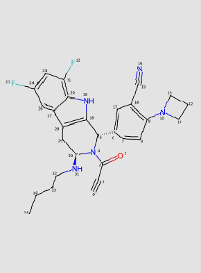 C#CC(=O)N1[C@@H](c2ccc(N3CCC3)c(C#N)c2)c2[nH]c3c(F)cc(F)cc3c2C[C@@H]1NCCCC